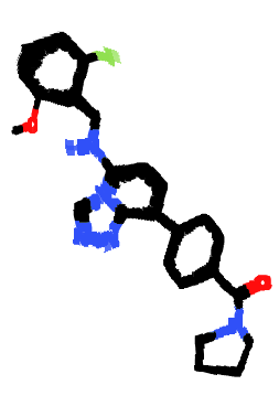 COc1cccc(F)c1CNc1ccc(-c2ccc(C(=O)N3CCCC3)cc2)c2nncn12